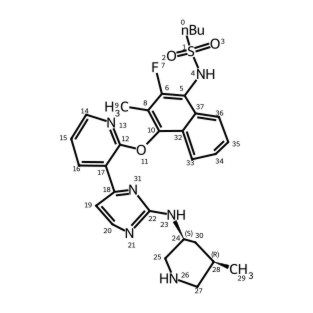 CCCCS(=O)(=O)Nc1c(F)c(C)c(Oc2ncccc2-c2ccnc(N[C@@H]3CNC[C@H](C)C3)n2)c2ccccc12